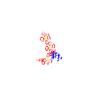 N.N.N.O=S(=O)(O)OOS(=O)(=O)O.O=S(O)O.OO